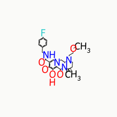 COCCN1CC[C@H](C)N2C(=O)c3c(O)c(=O)c(C(=O)NCc4ccc(F)cc4)cn3CC12